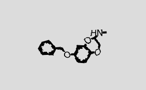 CNC1COc2ccc(OCc3ccccc3)cc2O1